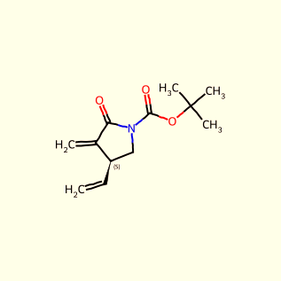 C=C[C@@H]1CN(C(=O)OC(C)(C)C)C(=O)C1=C